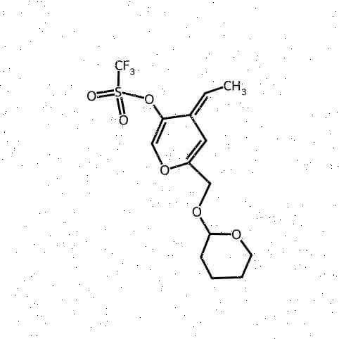 CC=C1C=C(COC2CCCCO2)OC=C1OS(=O)(=O)C(F)(F)F